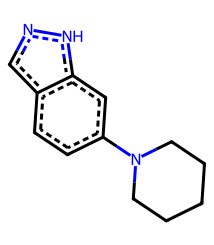 c1cc2cn[nH]c2cc1N1CCCCC1